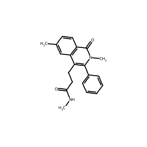 CNC(=O)CCc1c(-c2ccccc2)n(C)c(=O)c2ccc(C)cc12